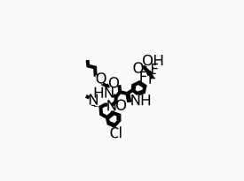 CCCCOCC(=O)NC(C(=O)N1C[C@@H](CN(C)C)Cc2cc(Cl)ccc21)C(C)c1c[nH]c2ccccc12.O=C(O)C(F)(F)F